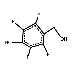 OCc1c(F)c(F)c(O)c(F)c1F